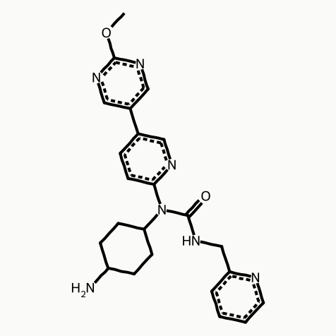 COc1ncc(-c2ccc(N(C(=O)NCc3ccccn3)C3CCC(N)CC3)nc2)cn1